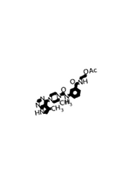 CC(=O)OCCNC(=O)c1cccc(NC(=O)N2CCN(c3ncnc4[nH]cc(C)c34)C[C@@H]2C)c1